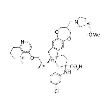 COC[C@H]1CCN(CC2COc3cc4c(cc3OC2)C2(CCC(Nc3cccc(Cl)c3)(C(=O)O)CC2)[C@@H](C[C@@H](C)COc2ccnc3c2[C@H](C)CCC3)C4)C1